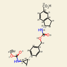 CC(C)(C)OC(=O)N[C@@H]1C[C@H]1c1ccc(COC(=O)N[C@H]2CCc3cc(C(=O)O)ccc32)cc1